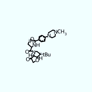 CC(C)CC(NC(=O)c1ccc(N2CCN(C)CC2)cc1)C(=O)N1C[C@H](C(C)(C)C)[C@H]2OCC(=O)[C@H]21